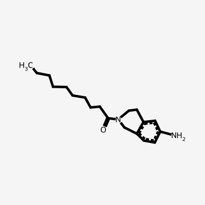 CCCCCCCCCC(=O)N1CCc2cc(N)ccc2C1